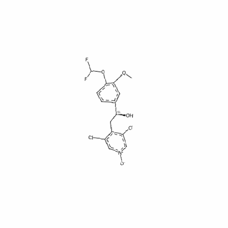 COc1cc([C@@H](O)Cc2c(Cl)c[n+]([O-])cc2Cl)ccc1OC(F)F